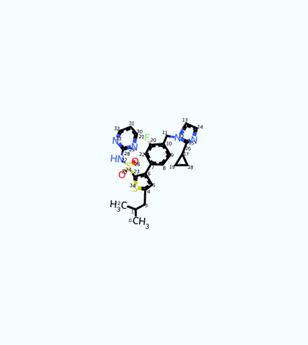 CC(C)Cc1cc(-c2ccc(Cn3ccnc3C3CC3)c(F)c2)c(S(=O)(=O)Nc2ncccn2)s1